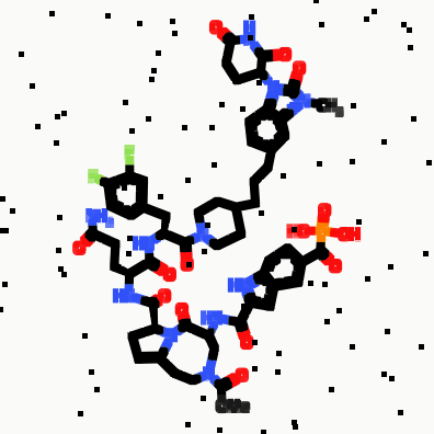 COC(=O)N1CCC2=CC[C@@H](C(=O)N[C@@H](CCC(N)=O)C(=O)N[C@@H](Cc3ccc(F)c(F)c3)C(=O)N3CCC(CCCc4ccc5c(c4)n(C)c(=O)n5C4CCC(=O)NC4=O)CC3)N2C(=O)[C@@H](NC(=O)c2cc3cc(C(=O)P(=O)(O)O)ccc3[nH]2)C1